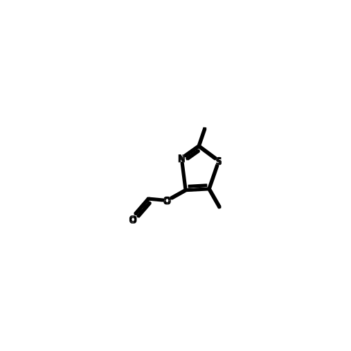 Cc1nc(OC=O)c(C)s1